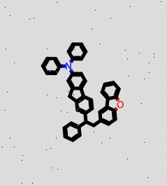 c1ccc(C(Cc2ccc3oc4ccccc4c3c2)c2ccc3c(c2)Cc2cc(N(c4ccccc4)c4ccccc4)ccc2-3)cc1